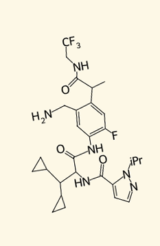 CC(C(=O)NCC(F)(F)F)c1cc(F)c(NC(=O)C(NC(=O)c2ccnn2C(C)C)C(C2CC2)C2CC2)cc1CN